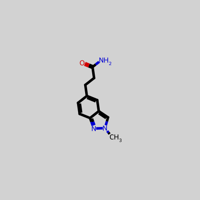 Cn1cc2cc(CCC(N)=O)ccc2n1